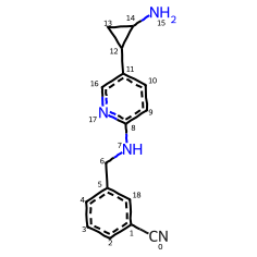 N#Cc1cccc(CNc2ccc(C3CC3N)cn2)c1